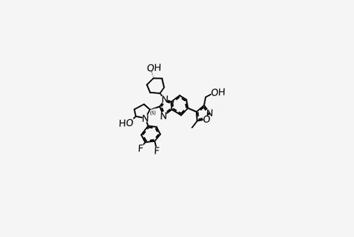 Cc1onc(CO)c1-c1ccc2c(c1)nc([C@@H]1CCC(O)N1c1ccc(F)c(F)c1)n2[C@H]1CC[C@H](O)CC1